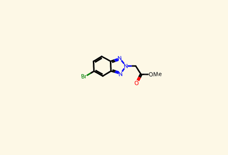 COC(=O)Cn1nc2ccc(Br)cc2n1